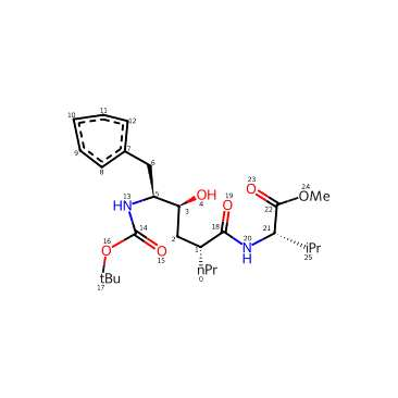 CCC[C@H](C[C@H](O)[C@H](Cc1ccccc1)NC(=O)OC(C)(C)C)C(=O)N[C@H](C(=O)OC)C(C)C